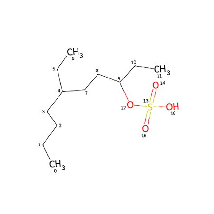 CCCCC(CC)CCC(CC)OS(=O)(=O)O